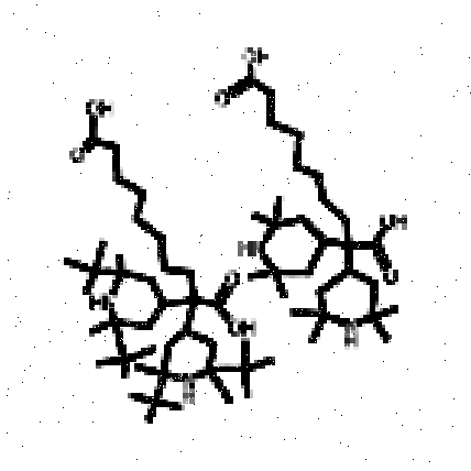 CC(C)(C)C1(C)CC(C(CCCCCCCC(=O)O)(C(=O)O)C2CC(C)(C(C)(C)C)NC(C)(C(C)(C)C)C2)CC(C)(C(C)(C)C)N1.CC1(C)CC(C(CCCCCCCC(=O)O)(C(=O)O)C2CC(C)(C)NC(C)(C)C2)CC(C)(C)N1